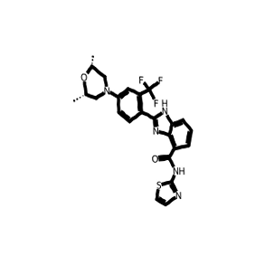 C[C@@H]1CN(c2ccc(-c3nc4c(C(=O)Nc5nccs5)cccc4[nH]3)c(C(F)(F)F)c2)C[C@H](C)O1